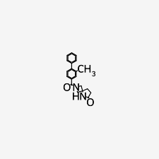 Cc1cc(C(=O)N2CC3(CCC(=O)N3)C2)ccc1-c1ccccc1